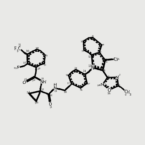 Cc1nc(-c2c(Cl)c3ccccc3n2-c2ccc(CNC(=O)C3(NC(=O)c4cccc(C(F)(F)F)c4F)CC3)cc2)no1